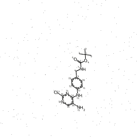 CC(C)(C)OC(=O)NCc1ccc(Nc2nc(Cl)ncc2N)cc1